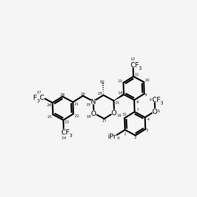 CC(C)c1ccc(OC(F)(F)F)c(-c2ccc(C(F)(F)F)cc2[C@H]2OCON(Cc3cc(C(F)(F)F)cc(C(F)(F)F)c3)[C@@H]2C)c1